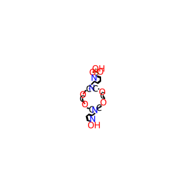 O=S(=O)(O)c1cccc(CN2CCOCCOCCN(Cc3cccc(O)n3)CCOCCOCC2)n1